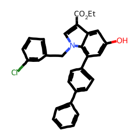 CCOC(=O)c1cn(Cc2cccc(Cl)c2)c2c(-c3ccc(-c4ccccc4)cc3)cc(O)cc12